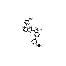 CC(=O)c1ccc(-c2nccc3[nH]c(-c4n[nH]c5ccc(-c6cncc(N)c6)cc45)nc23)s1